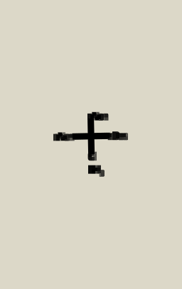 CCCCCCCCCCC(Cl)(CCCCCCCCC)CCCCCCCCC.N